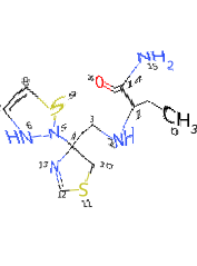 CC(NCC1(N2NC=CS2)CSC=N1)C(N)=O